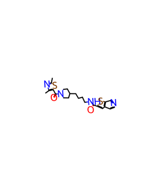 Cc1nc(C)c(C(=O)N2CCC(CCCCNC(=O)c3cc4ccncc4s3)CC2)s1